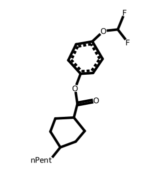 CCCCCC1CCC(C(=O)Oc2ccc(OC(F)F)cc2)CC1